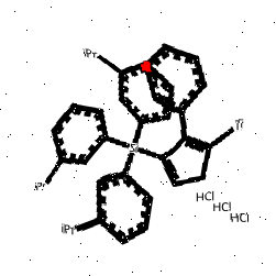 CC(C)c1cccc([Si](C2=CC[C]([Ti])=C2c2ccccc2)(c2cccc(C(C)C)c2)c2cccc(C(C)C)c2)c1.Cl.Cl.Cl